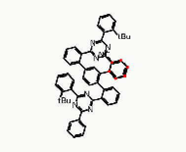 CC(C)(C)c1ccccc1-c1nc(-c2ccccc2)nc(-c2ccccc2-c2ccc(-c3ccccc3-c3nc(-c4ccccc4)nc(-c4ccccc4C(C)(C)C)n3)c(-c3ccccc3C#N)c2)n1